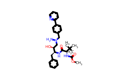 COC(=O)N[C@H](C(=O)N[C@@H](Cc1ccccc1)[C@@H](O)CN(N)Cc1ccc(-c2ccccn2)cc1)C(C)(C)C